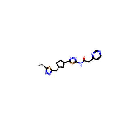 CC(=O)Nc1nnc(C[C@H]2CCC(c3nnc(NC(=O)Cc4ccncn4)s3)C2)s1